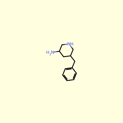 NC1CNCC(Cc2ccccc2)C1